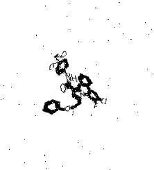 Cc1c(C(=O)Nc2ccc(S(C)(=O)=O)cc2)cc(C[C@H](C)OCc2ccccc2)n1-c1cc(F)c(Cl)cc1-c1ccccc1